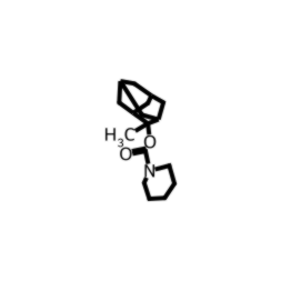 CC1(OC(=O)N2CCCCC2)C2CC3CC(C2)CC1C3